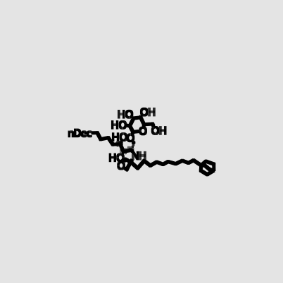 CCCCCCCCCCCCCC[C@@H](O)[C@@H](O)[C@H](COC1OC(CO)C(O)C(O)C1O)NC1(CCCCCCCCCCC23CCC(CC2)CC3)COC1